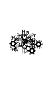 [2H]C([2H])([2H])c1cccc(C([2H])([2H])[2H])c1OCC(=O)N[C@@H](Cc1ccccc1)[C@@H](O)C[C@@H](NC(=O)[C@H](C(C)C)N1C(=O)NC([2H])([2H])C([2H])([2H])C1([2H])[2H])C([2H])([2H])c1ccccc1